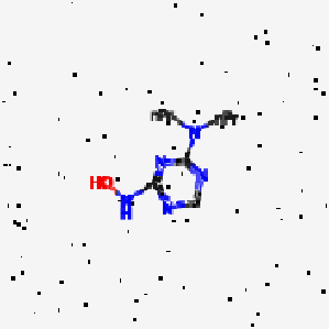 CCCN(CCC)c1ncnc(NO)n1